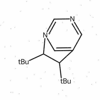 CC(C)(C)C1c2cnc[n+](c2)C1C(C)(C)C